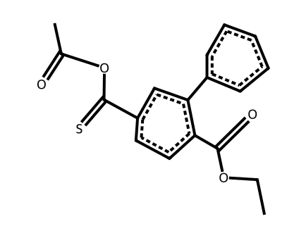 CCOC(=O)c1ccc(C(=S)OC(C)=O)cc1-c1ccccc1